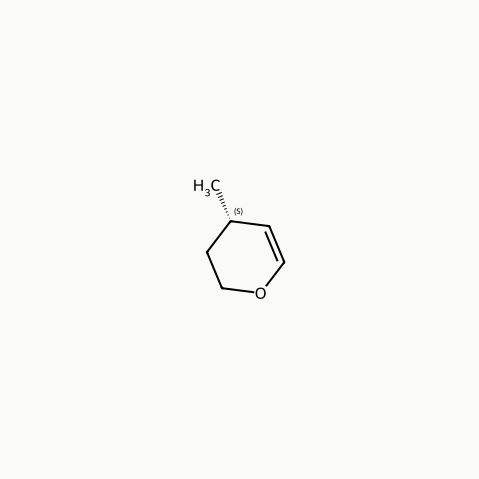 C[C@@H]1C=COCC1